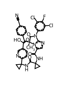 C[C@@]1(Cc2ccc(C#N)cc2)C(=O)N(c2cc(Cl)c(F)c(Cl)c2)c2ncc(C(=O)NC3(C(=O)NC4(c5ccc(C(=O)O)cn5)CC4)CC3)n21